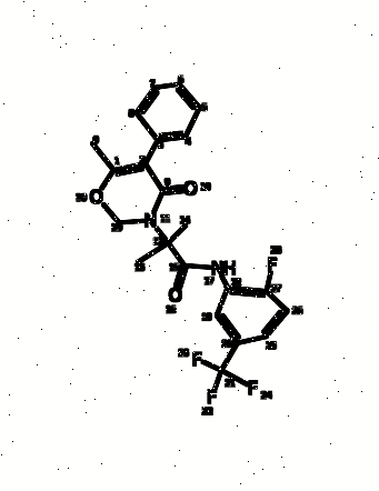 CC1=C(c2ccccc2)C(=O)N(C(C)(C)C(=O)Nc2cc(C(F)(F)F)ccc2F)CO1